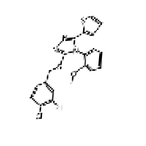 COc1ccccc1-n1c(SCc2ccc(Cl)c(Cl)c2)nnc1-c1cccs1